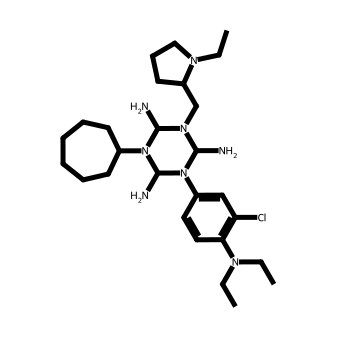 CCN(CC)c1ccc(N2C(N)N(CC3CCCN3CC)C(N)N(C3CCCCCC3)C2N)cc1Cl